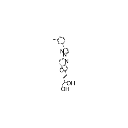 Cc1cccc(-c2ccn(-c3ccc4oc(/C=C/C(O)CO)cc4n3)n2)c1